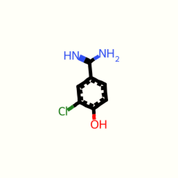 N=C(N)c1ccc(O)c(Cl)c1